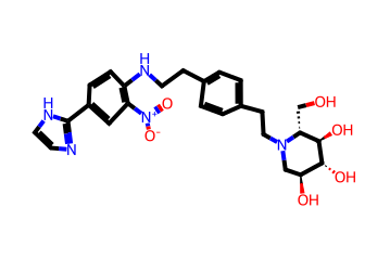 O=[N+]([O-])c1cc(-c2ncc[nH]2)ccc1NCCc1ccc(CCN2C[C@H](O)[C@@H](O)[C@H](O)[C@H]2CO)cc1